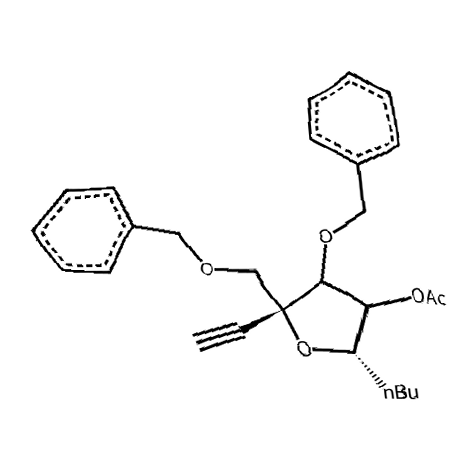 C#C[C@]1(COCc2ccccc2)O[C@@H](CCCC)C(OC(C)=O)C1OCc1ccccc1